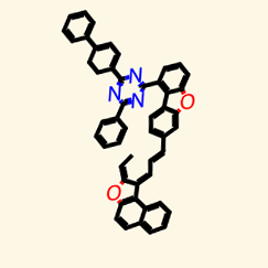 C/C=c1/oc2ccc3ccccc3c2/c1=C/C=C/c1ccc2c(c1)oc1cccc(-c3nc(C4=CC=C(c5ccccc5)CC4)nc(-c4ccccc4)n3)c12